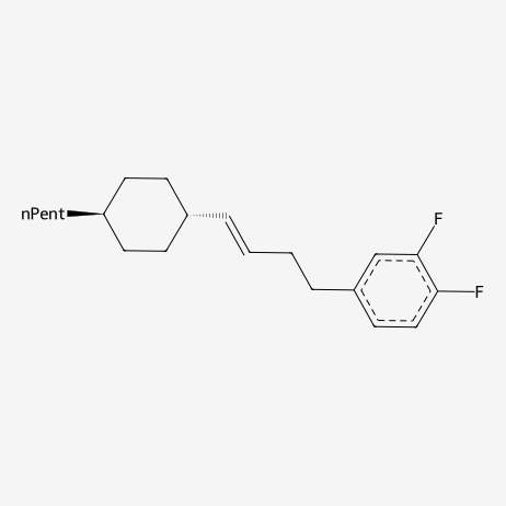 CCCCC[C@H]1CC[C@H](/C=C/CCc2ccc(F)c(F)c2)CC1